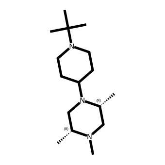 C[C@@H]1CN(C2CCN(C(C)(C)C)CC2)[C@H](C)CN1C